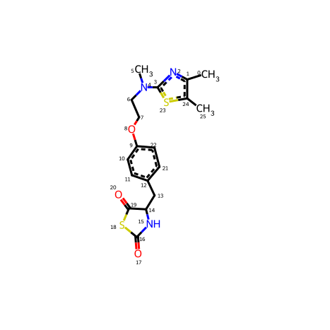 Cc1nc(N(C)CCOc2ccc(CC3NC(=O)SC3=O)cc2)sc1C